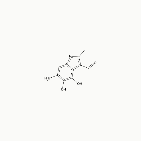 Bc1cn2nc(C)c(C=O)c2c(O)c1O